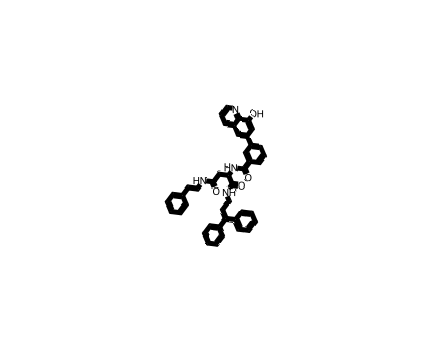 O=C(CC(NC(=O)c1cccc(-c2cc(O)c3ncccc3c2)c1)C(=O)NCCC(c1ccccc1)c1ccccc1)NCCc1ccccc1